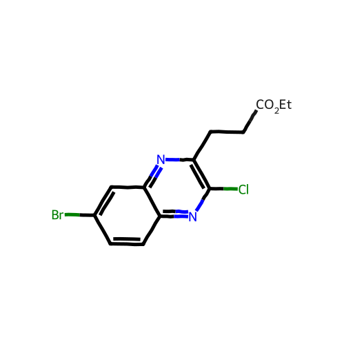 CCOC(=O)CCc1nc2cc(Br)ccc2nc1Cl